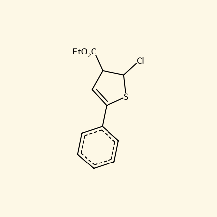 CCOC(=O)C1C=C(c2ccccc2)SC1Cl